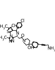 Cc1sc2c(c1C)C(c1ccc(Cl)cc1)=N[C@@H](CC(=O)N1CCC(O)(c3ccc(C#CCN)cc3)CC1)c1nnc(C)n1-2